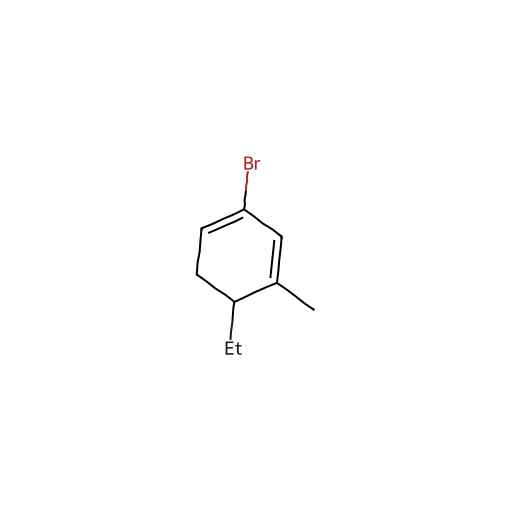 CCC1CC=C(Br)C=C1C